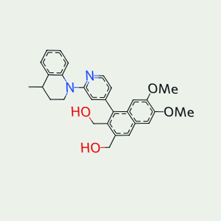 COc1cc2cc(CO)c(CO)c(-c3ccnc(N4CCC(C)c5ccccc54)c3)c2cc1OC